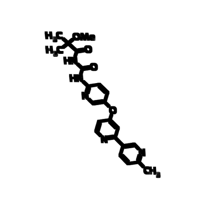 COC(C)(C)C(=O)NC(=O)Nc1ccc(Oc2ccnc(-c3ccc(C)nc3)c2)cn1